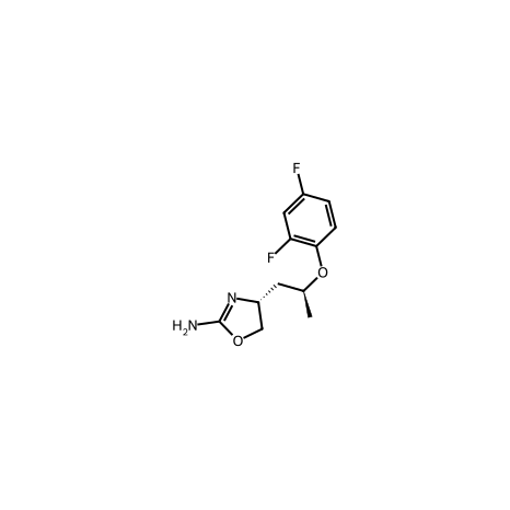 C[C@@H](C[C@@H]1COC(N)=N1)Oc1ccc(F)cc1F